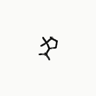 CN(C)C1CC[N]C1(C)C